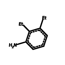 CCc1cccc(N)c1CC